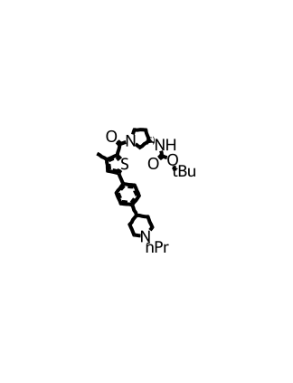 CCCN1CCC(c2ccc(-c3cc(C)c(C(=O)N4CC[C@H](NC(=O)OC(C)(C)C)C4)s3)cc2)CC1